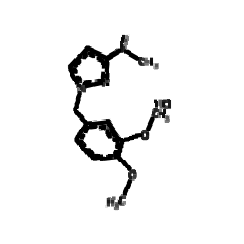 CNc1ccn(Cc2ccc(OC)c(OC)c2)n1.Cl